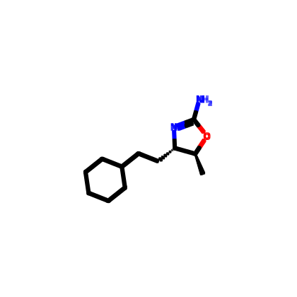 C[C@@H]1OC(N)=N[C@H]1CCC1CCCCC1